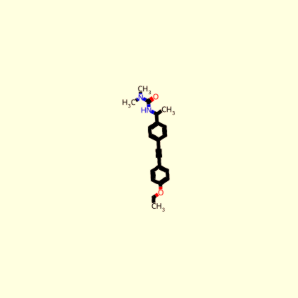 CCOc1ccc(C#Cc2ccc(C(C)NC(=O)N(C)C)cc2)cc1